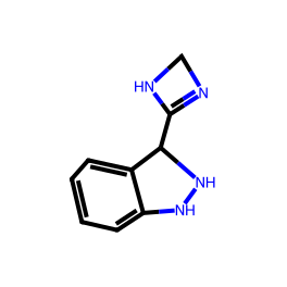 c1ccc2c(c1)NNC2C1=NCN1